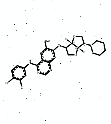 COc1cc2c(Nc3ccc(Br)c(Cl)c3)ncnc2cc1OC1CO[C@H]2[C@H](N3CCCCC3)CO[C@@H]12